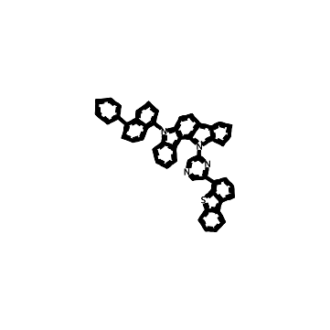 c1ccc(-c2cccc3c(-n4c5ccccc5c5c4ccc4c6ccccc6n(-c6cncc(-c7cccc8c7sc7ccccc78)n6)c45)cccc23)cc1